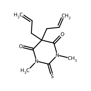 C=CCC1(CC=C)C(=O)N(C)C(=S)N(C)C1=O